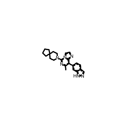 Cc1nc(N2CCC3(CCCC3)CC2)n2ccnc2c1-c1ccc2cn[nH]c2c1